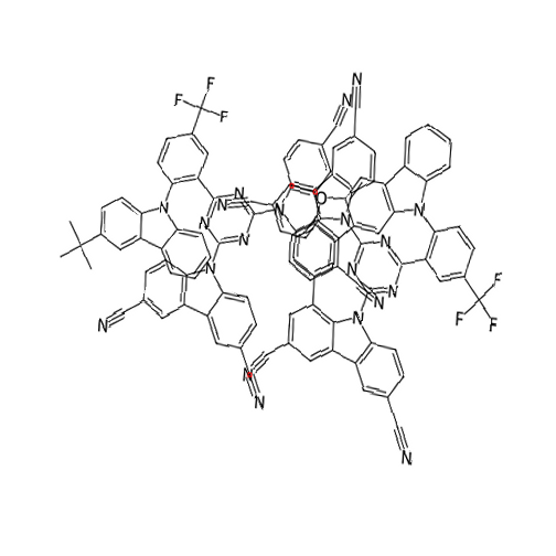 CC(C)(C)c1ccc2c(c1)c1ccccc1n2-c1ccc(C(F)(F)F)cc1-c1nc(-n2c3ccc(C#N)cc3c3cc(C#N)ccc32)nc(-n2c3ccc(C#N)cc3c3cc(C#N)c(-c4cc(C#N)cc5c6cc(C#N)ccc6n(-c6nc(-c7cc(C(F)(F)F)ccc7-n7c8ccccc8c8cc9oc%10ccccc%10c9cc87)nc(-n7c8ccc(C#N)cc8c8cc(C#N)ccc87)n6)c45)cc32)n1